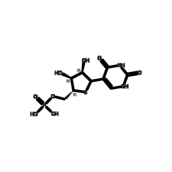 O=c1[nH]cc(C2S[C@H](COP(=O)(O)O)[C@@H](O)[C@H]2O)c(=O)[nH]1